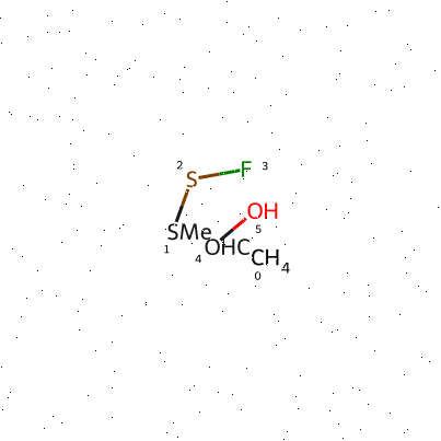 C.CSSF.O=CO